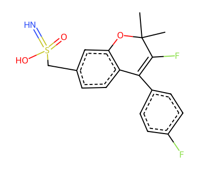 CC1(C)Oc2cc(CS(=N)(=O)O)ccc2C(c2ccc(F)cc2)=C1F